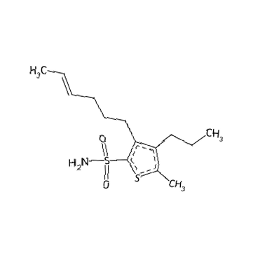 CC=CCCCc1c(S(N)(=O)=O)sc(C)c1CCC